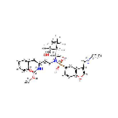 [2H]C([2H])([2H])C([2H])(C([2H])([2H])[2H])C([2H])([2H])N(C[C@@H](O)[C@H](Cc1ccccc1)NC(=O)OC(C)(C)C)S(=O)(=O)c1ccc2occ(CNC(=O)OCC)c2c1